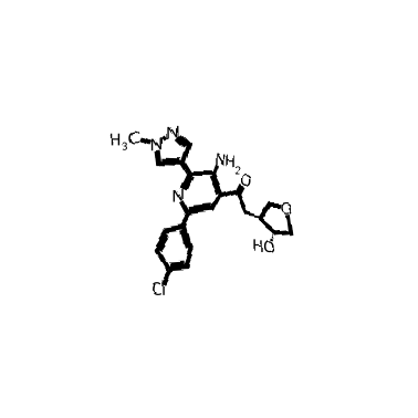 Cn1cc(-c2nc(-c3ccc(Cl)cc3)cc(C(=O)C[C@H]3COC[C@@H]3O)c2N)cn1